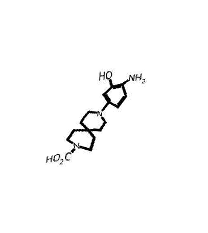 Nc1ccc(N2CCC3(CCN(C(=O)O)CC3)CC2)cc1O